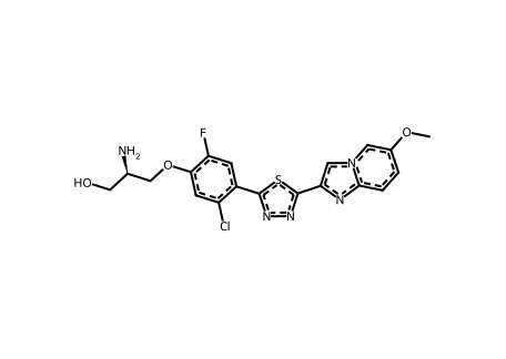 COc1ccc2nc(-c3nnc(-c4cc(F)c(OC[C@H](N)CO)cc4Cl)s3)cn2c1